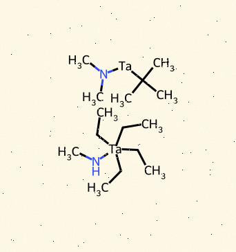 C[CH2][Ta]([CH2]C)([CH2]C)([CH2]C)[NH]C.C[N](C)[Ta][C](C)(C)C